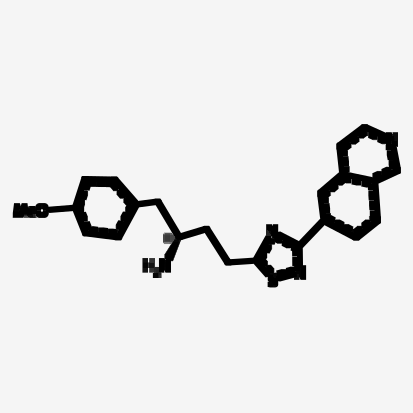 COc1ccc(C[C@H](N)CCc2nc(-c3ccc4cnccc4c3)ns2)cc1